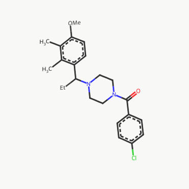 CCC(c1ccc(OC)c(C)c1C)N1CCN(C(=O)c2ccc(Cl)cc2)CC1